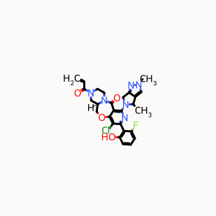 C=CC(=O)N1CCN2C(=O)c3c(N4Cc5nn(C)cc5C4C)nc(-c4c(O)cccc4F)c(Cl)c3OC[C@H]2C1